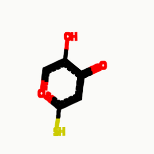 O=c1cc(S)occ1O